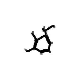 C[Se]c1cccc(C)c1C